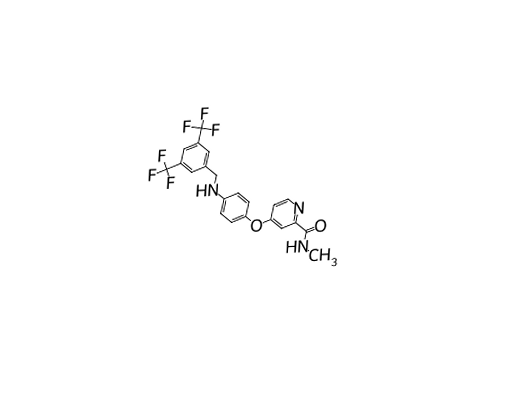 CNC(=O)c1cc(Oc2ccc(NCc3cc(C(F)(F)F)cc(C(F)(F)F)c3)cc2)ccn1